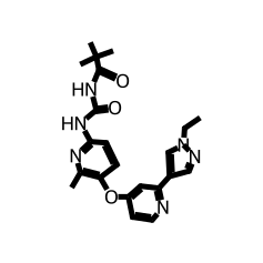 CCn1cc(-c2cc(Oc3ccc(NC(=O)NC(=O)C(C)(C)C)nc3C)ccn2)cn1